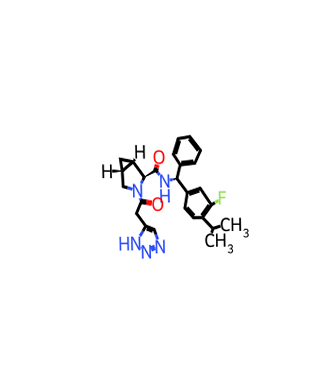 CC(C)c1ccc([C@@H](NC(=O)[C@@H]2[C@H]3C[C@H]3CN2C(=O)Cc2cnn[nH]2)c2ccccc2)cc1F